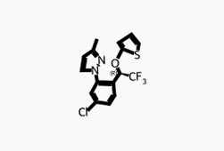 Cc1ccn(-c2cc(Cl)ccc2[C@@H](Oc2cccs2)C(F)(F)F)n1